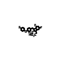 CC1=C(CC(=O)O)c2cc(F)cc(F)c2/C1=C/c1ccc(Oc2ccc(F)cc2)cc1